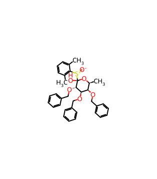 Cc1cccc(C)c1[S+]([O-])[C@]1(O)O[C@@H](C)[C@@H](OCc2ccccc2)[C@@H](OCc2ccccc2)[C@@H]1OCc1ccccc1